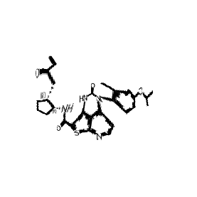 C=CC(=O)C[C@H]1CCC[C@H]1NC(=O)c1sc2nccc3c2c1NC(=O)N3c1ccc(OC(C)C)cc1C